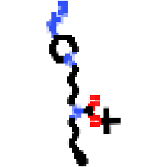 C#CCCCN(CCCCN1CCC(N=[N+]=[N-])CC1)C(=O)OC(C)(C)C